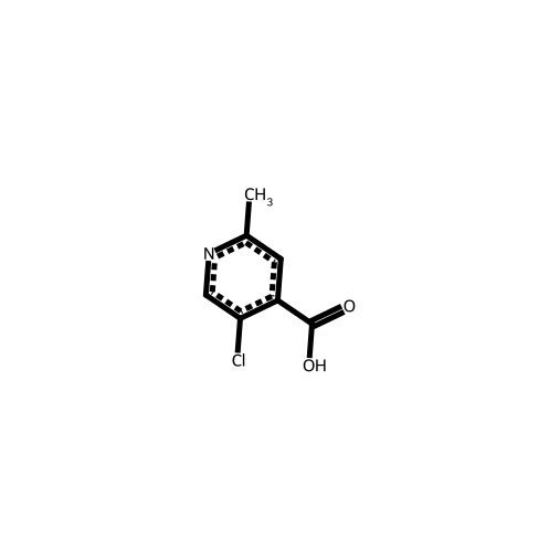 Cc1cc(C(=O)O)c(Cl)cn1